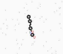 COc1ccc2nc(-c3ccc(C=Cc4ccc(-c5ccccc5)cc4)cc3)oc2c1